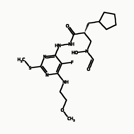 COCCNc1nc(SC)nc(NNC(=O)[C@H](CC2CCCC2)CN(O)C=O)c1F